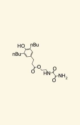 CCCCc1cc(CCC(=O)OCCNC(=O)C(N)=O)cc(CCCC)c1O